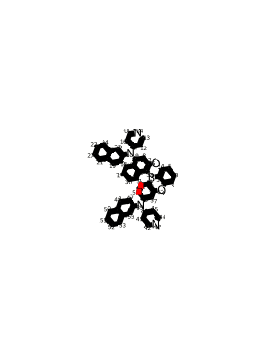 c1cc2c3c(c1)Oc1cc(N(c4ccncc4)c4ccc5ccccc5c4)c4ccccc4c1B3c1c(cc(N(c3ccncc3)c3ccc4ccccc4c3)c3ccccc13)O2